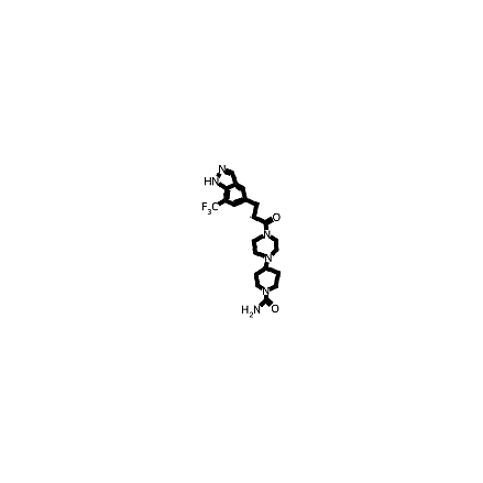 NC(=O)N1CCC(N2CCN(C(=O)[CH]Cc3cc(C(F)(F)F)c4[nH]ncc4c3)CC2)CC1